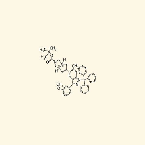 COc1cc(-c2nn(C(c3ccccc3)(c3ccccc3)c3ccccc3)c3cc(C)c(C4=C[C@@H]5CN(C(=O)OC(C)(C)C)C[C@@H]5C4)cc23)ccn1